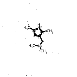 Cc1[c]c(CN(C)C)c(C)[nH]1